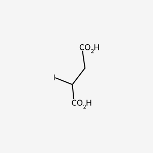 O=C(O)CC(I)C(=O)O